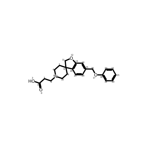 O=C(O)CCN1CCC2(CC1)COc1cc(COc3ccccc3)ccc12